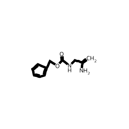 C=C(N)CNC(=O)OCc1ccccc1